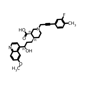 COc1ccc2nccc([C@H](O)CC[C@@H]3CCN(CC#Cc4ccc(C)c(F)c4)C[C@@H]3C(=O)O)c2c1